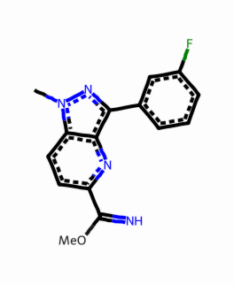 COC(=N)c1ccc2c(n1)c(-c1cccc(F)c1)nn2C